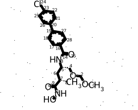 COCOC[C@H](C[C@H](C)C(=O)NO)NC(=O)c1ccc(-c2ccc(Cl)cc2)cc1